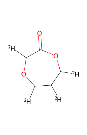 [2H]C1OC([2H])C([2H])C([2H])OC1=O